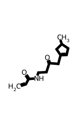 C=CC(=O)NCCC(=O)CC1=CCC(C)C1